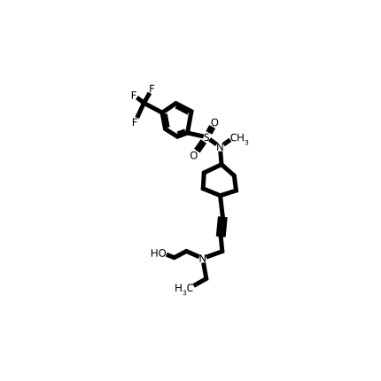 CCN(CC#CC1CCC(N(C)S(=O)(=O)c2ccc(C(F)(F)F)cc2)CC1)CCO